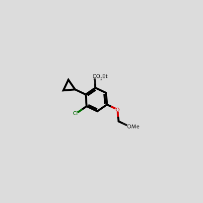 CCOC(=O)c1cc(OCOC)cc(Cl)c1C1CC1